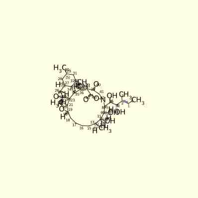 C/C=C(\C)[C@H](O)[C@H](O)[C@H]1[C@@H](O)[C@H](O)[C@@H](C)CCCC[C@@H]2OC2(C)[C@H]2[C@@H]3O[C@@H]3[C@H]3C[C@@H](C)C[C@@H](C)[C@H]3[C@@H]2C(O)=C2C(=O)CN1OC2=O